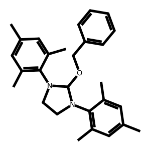 Cc1cc(C)c(N2CCN(c3c(C)cc(C)cc3C)C2OCc2ccccc2)c(C)c1